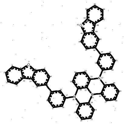 c1cc(-c2ccc3oc4ccccc4c3c2)cc(N2c3ccccc3B3c4ccccc4N(c4cccc(-c5ccc6oc7ccccc7c6c5)c4)c4cccc2c43)c1